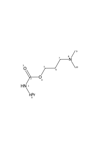 CCCNC(=O)OCCCN(C)C